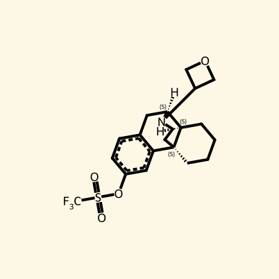 O=S(=O)(Oc1ccc2c(c1)[C@]13CCCC[C@@H]1[C@H](C2)N(C1COC1)CC3)C(F)(F)F